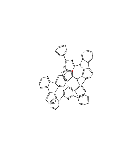 c1ccc(-c2nc(-c3ccccc3)nc(-c3ccccc3-n3c4ccccc4c4ccc5c6ccccc6n(-c6nc(-c7ccccc7)nc(-c7ccc8c9ccccc9c9ccccc9c8c7)n6)c5c43)n2)cc1